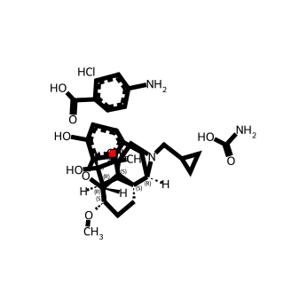 CO[C@@]12CC[C@@]3(C[C@@H]1[C@](C)(O)C(C)(C)C)[C@H]1Cc4ccc(O)c5c4[C@@]3(CCN1CC1CC1)[C@H]2O5.Cl.NC(=O)O.Nc1ccc(C(=O)O)cc1